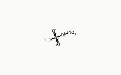 O=[N+]([O-])[Fe][S](=O)(=O)O